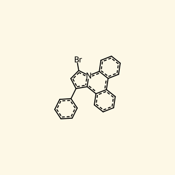 Brc1cc(-c2ccccc2)c2c3ccccc3c3ccccc3n12